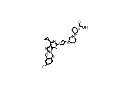 C[C@H](c1ccc(Cl)cc1Cl)n1nnc2c(C3CC3)nc(N3CC([C@H]4CCCN([C@@H]5CC[C@H](C(=O)O)C5)C4)C3)nc21